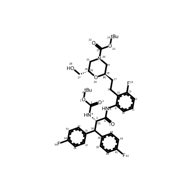 CC(C)(C)OC(=O)N[C@H](C(=O)Nc1cccc(F)c1CC[C@@H]1CN(C(=O)OC(C)(C)C)C[C@@H](CO)O1)C(c1ccc(F)cc1)c1ccc(F)cc1